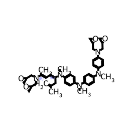 C=C(C)C/C(=C\C=C(/C)N(CC1CO1)CC1CO1)N(C)c1ccc(N(C)c2ccc(N(C)c3ccc(N(CC4CO4)CC4CO4)cc3)cc2)cc1